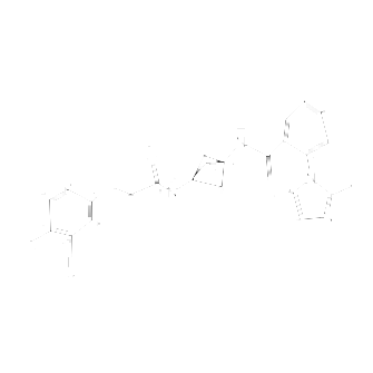 Cc1nccn1-c1ccccc1C(=O)NC12CC(NC(=O)COc3ccc(Cl)c(F)c3)(C1)C2